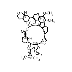 CCO[C@@H]1c2nc(cs2)-c2ccc3c(c2)c(c(-c2cc(C4CCN5CCOC[C@@H]5C4)cnc2[C@H](C)OC)n3CC)CC(C)(C)COC(=O)[C@@H]2CCCN(N2)C(=O)[C@H]1NC(=O)[C@H]1[C@H](C)[C@@H]1C